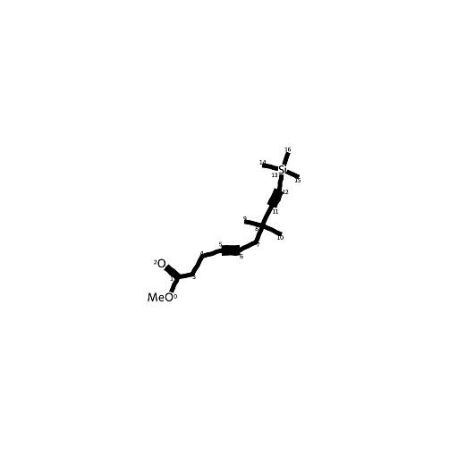 COC(=O)CCC#CCC(C)(C)C#C[Si](C)(C)C